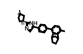 Cc1ccc(-c2ccc(-c3cnc([C@H]4CC[C@@H](C)C4)[nH]3)cc2)c2c1C1CCC2C1